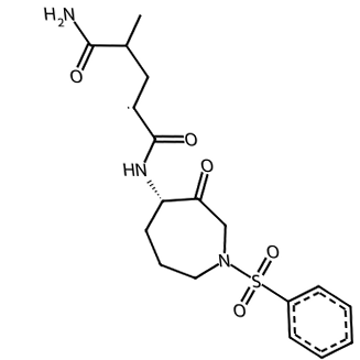 CC(C[CH]C(=O)N[C@H]1CCCN(S(=O)(=O)c2ccccc2)CC1=O)C(N)=O